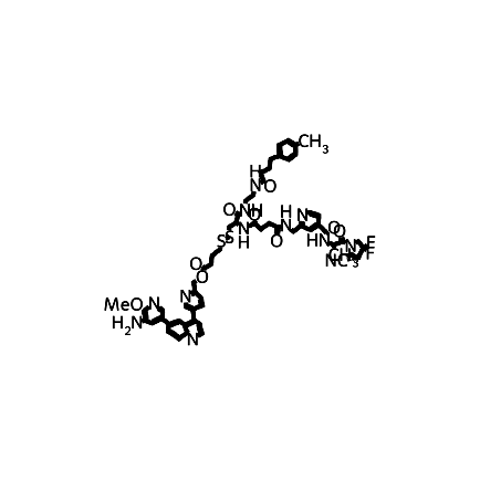 COc1ncc(-c2ccc3nccc(-c4ccc(COC(=O)CCCSSCC(NC(=O)CCC(=O)NCc5cc(C(=O)NC(C)C(=O)N6CC(F)(F)C[C@H]6C#N)ccn5)C(=O)NCCNC(=O)CCCc5ccc(C)cc5)nc4)c3c2)cc1N